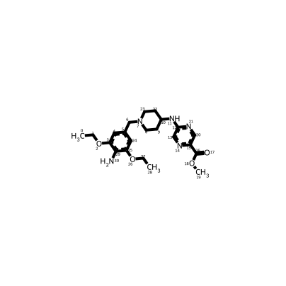 CCOc1cc(CN2CCC(Nc3cnc(C(=O)OC)cn3)CC2)cc(OCC)c1N